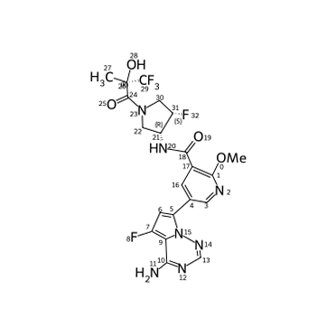 COc1ncc(-c2cc(F)c3c(N)ncnn23)cc1C(=O)N[C@@H]1CN(C(=O)[C@@](C)(O)C(F)(F)F)C[C@@H]1F